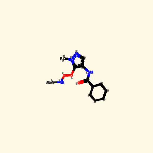 CNNOOc1c(NC(=O)C2CCCCC2)cnn1C